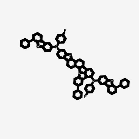 Fc1ccc(N(c2ccc3c(c2)sc2c3ccc3c2ccc2c4ccc(N(c5ccc(F)cc5)c5ccc6oc7c(-c8ccccc8)cccc7c6c5)c5c6cc(-c7ccccc7)ccc6n(c32)c45)c2ccc3oc4c(-c5ccccc5)cccc4c3c2)cc1